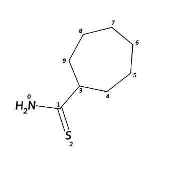 NC(=S)C1CCCCCC1